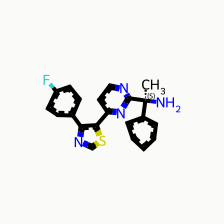 C[C@](N)(c1ccccc1)c1nccc(-c2scnc2-c2ccc(F)cc2)n1